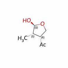 CC(=O)[C@H]1CO[C@H](O)[C@H]1C